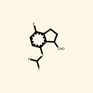 O=CC1CCc2c(F)ccc(SC(F)F)c21